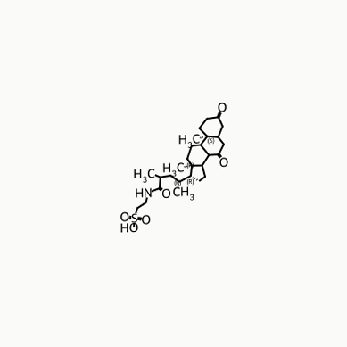 CC(C[C@@H](C)[C@H]1CCC2C3C(=O)CC4CC(=O)CC[C@]4(C)C3CC[C@@]21C)C(=O)NCCS(=O)(=O)O